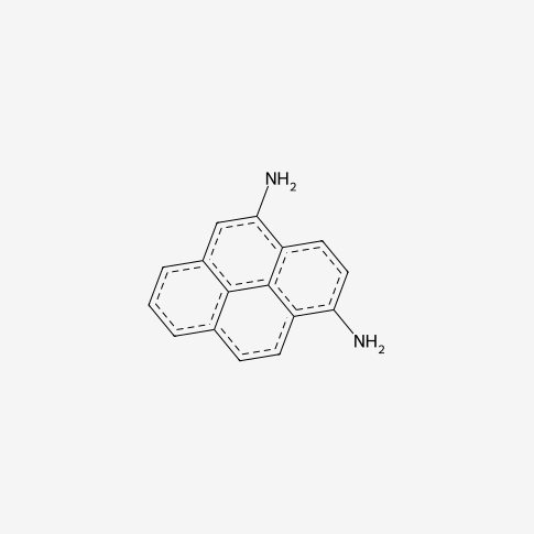 Nc1ccc2c(N)cc3cccc4ccc1c2c43